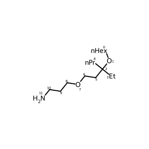 CCCCCCOC(CC)(CCC)CCOCCCN